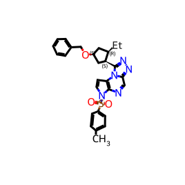 CC[C@@H]1C[C@H](OCc2ccccc2)C[C@@H]1c1nnc2cnc3c(ccn3S(=O)(=O)c3ccc(C)cc3)n12